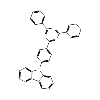 C1=CC(c2nc(-c3ccccc3)nc(-c3ccc(-n4c5ccccc5c5ccccc54)cc3)n2)=CCC1